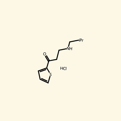 CC(C)CNCCC(=O)c1cccs1.Cl